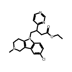 CCOC(=O)CC(Cn1c2c(c3cc(Cl)ccc31)CN(C)CC2)c1ccncn1